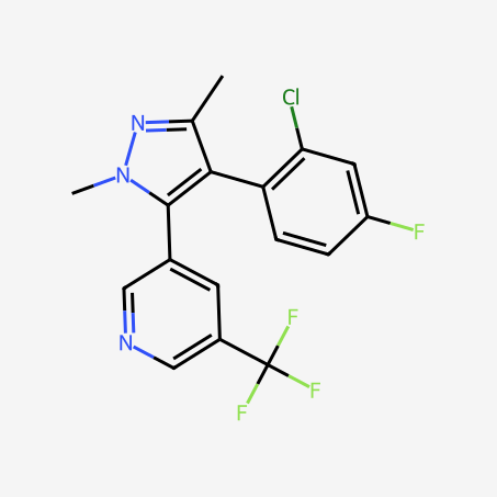 Cc1nn(C)c(-c2cncc(C(F)(F)F)c2)c1-c1ccc(F)cc1Cl